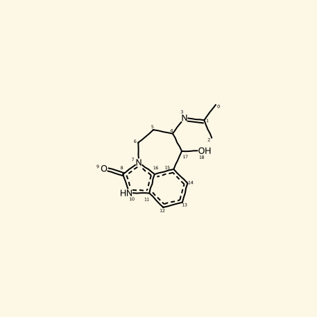 CC(C)=NC1CCn2c(=O)[nH]c3cccc(c32)C1O